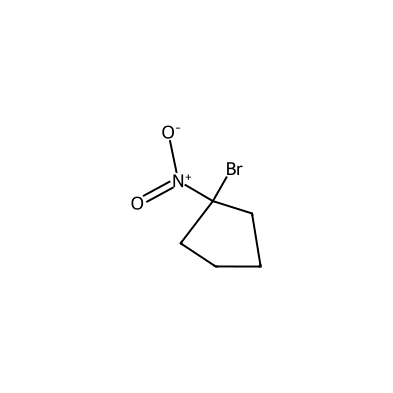 O=[N+]([O-])C1(Br)CCCC1